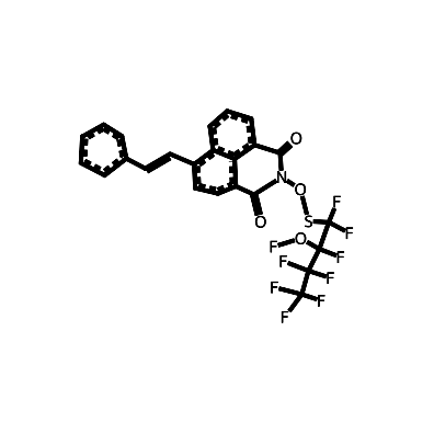 O=C1c2cccc3c(/C=C/c4ccccc4)ccc(c23)C(=O)N1OSC(F)(F)C(F)(OF)C(F)(F)C(F)(F)F